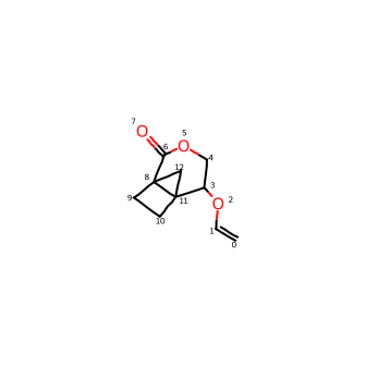 C=COC1COC(=O)C23CCC12C3